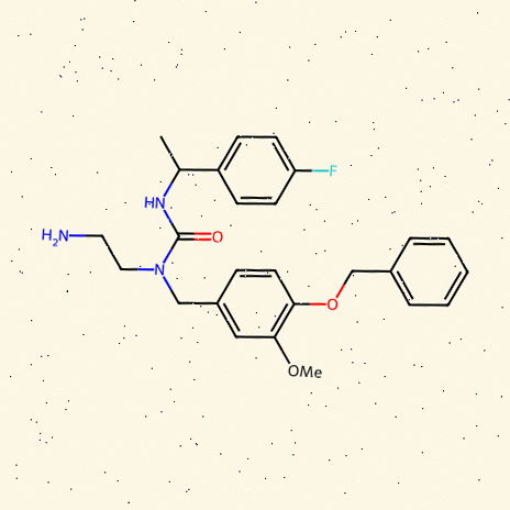 COc1cc(CN(CCN)C(=O)NC(C)c2ccc(F)cc2)ccc1OCc1ccccc1